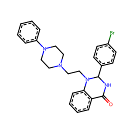 O=C1NC(c2ccc(Br)cc2)N(CCN2CCN(c3ccccc3)CC2)c2ccccc21